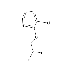 FC(F)COc1nc[c]cc1Cl